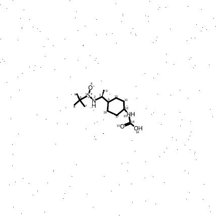 C[C@H](N[S+]([O-])C(C)(C)C)C1CCC(NC(=O)O)CC1